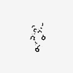 CCCC(NC(=O)[C@@H]1CC2(CN1C(=O)[C@@H](NC(=O)OCC(C)C)[C@@H](C)OCc1ccccc1)SCCCS2)C(=O)C(=O)NCC(=O)N[C@H](C(=O)O)c1ccccc1